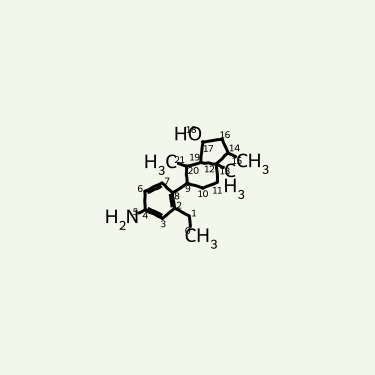 CCc1cc(N)ccc1C1CCC2(C)C(C)CC(O)C2C1C